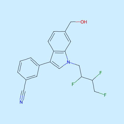 N#Cc1cccc(-c2cn(CC(F)C(F)CF)c3cc(CO)ccc23)c1